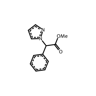 COC(=O)C(c1ccccc1)n1cccn1